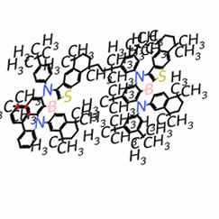 CC(C)(C)c1ccc(N2c3cc(C(C)(C)C)cc4c3B(c3cc5c(cc3N4c3ccccc3-c3ccccc3)C(C)(C)CCC5(C)C)c3sc4cc5c(cc4c32)C(C)(C)CCC5(C)CCC(C)(C)c2cc(N3c4cc(C(C)(C)C)cc5c4B(c4cc6c(cc4N5c4cc(C(C)(C)C)cc(C(C)(C)C)c4)C(C)(C)CCC6(C)C)c4sc5cc6c(cc5c43)C(C)(C)CCC6(C)C)cc(C(C)(C)C)c2)cc1